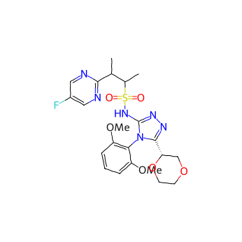 COc1cccc(OC)c1-n1c(NS(=O)(=O)C(C)C(C)c2ncc(F)cn2)nnc1[C@@H]1COCCO1